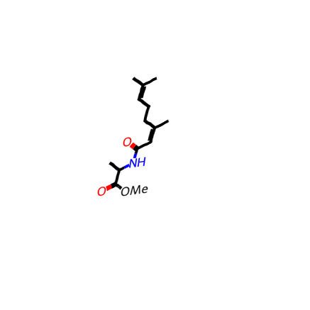 COC(=O)C(C)NC(=O)C=C(C)CCC=C(C)C